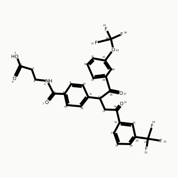 O=C(O)CCNC(=O)c1ccc(C(CC(=O)c2cccc(C(F)(F)F)c2)C(=O)c2cccc(OC(F)(F)F)c2)cc1